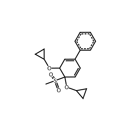 CS(=O)(=O)C1(OC2CC2)C=CC(c2ccccc2)=CC1OC1CC1